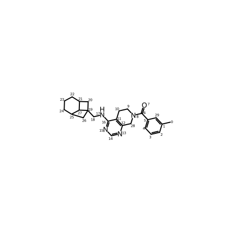 Cc1cccc(C(=O)N2CCc3c(ncnc3NCC34CC5CCCC(C3)C54)C2)c1